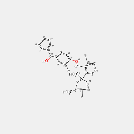 CC1=C(C(=O)O)CC(C(=O)O)(c2cccc(C)c2COc2ccc(C(=O)c3ccccc3)cc2C)C=C1